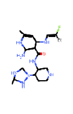 CC/C(F)=C\NC1C=C(C)NC(N)C1C(=O)NC1CNCCC1N1CNC(C)N1